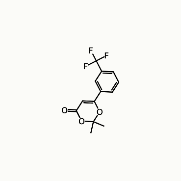 CC1(C)OC(=O)C=C(c2cccc(C(F)(F)F)c2)O1